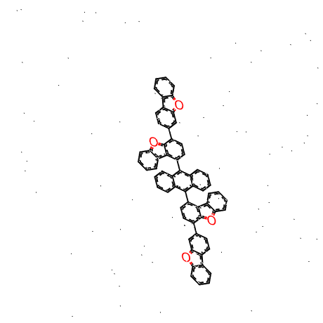 c1ccc2c(c1)oc1cc(-c3ccc(-c4c5ccccc5c(-c5ccc(-c6ccc7c(c6)oc6ccccc67)c6oc7ccccc7c56)c5ccccc45)c4c3oc3ccccc34)ccc12